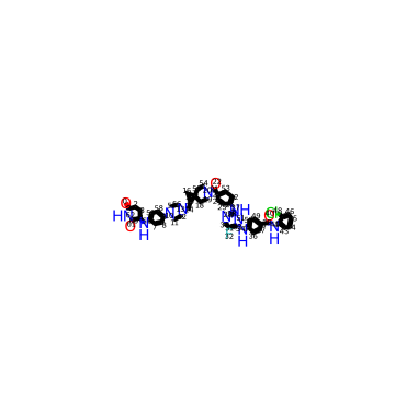 O=C1CCC(Nc2ccc(N3CCN(CC4CC45CCN(C(=O)c4ccc(Nc6ncc(F)c(Nc7ccc(C(=O)Nc8ccccc8Cl)cc7)n6)cc4)CC5)CC3)cc2)C(=O)N1